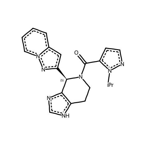 CC(C)n1nccc1C(=O)N1CCc2[nH]cnc2[C@H]1c1cc2ccccn2n1